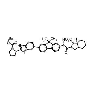 CC(C)(C)OC(=O)N1CCCC1c1nc2cc(-c3ccc4c(c3)C(C)(C)c3cc(NC(=O)C5CC6CCCC[C@@H]6N5C(=O)O)ccc3-4)ccc2[nH]1